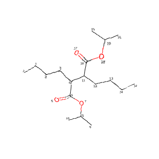 CCCCC(C(=O)OC(C)C)C(CCCC)C(=O)OC(C)C